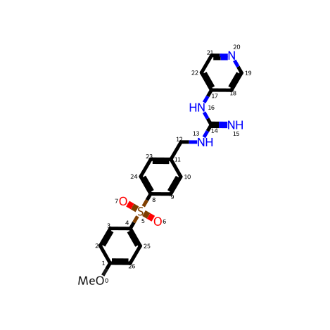 COc1ccc(S(=O)(=O)c2ccc(CNC(=N)Nc3ccncc3)cc2)cc1